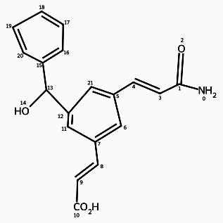 NC(=O)C=Cc1cc(C=CC(=O)O)cc(C(O)c2ccccc2)c1